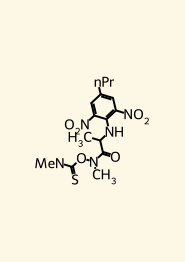 CCCc1cc([N+](=O)[O-])c(NC(C)C(=O)N(C)OC(=S)NC)c([N+](=O)[O-])c1